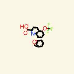 O=C(O)c1ccc2c(OC(F)(F)F)cccc2n1.c1cc2cc(c1)OC2